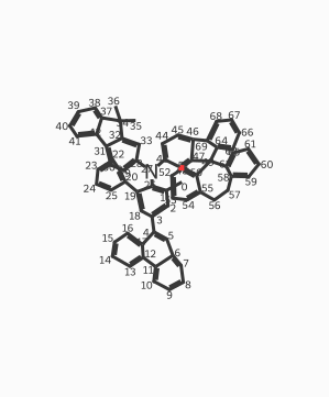 Cc1cc(-c2cc3ccccc3c3ccccc23)cc(-c2ccccc2)c1N(c1ccc2c(c1)C(C)(C)c1ccccc1-2)c1ccc2c(c1)C1(c3ccccc3CCc3ccccc31)c1ccccc1-2